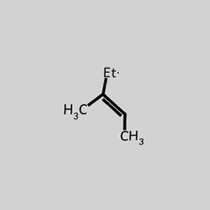 C[CH]C(C)=CC